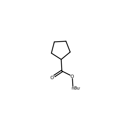 CCC[CH]OC(=O)C1CCCC1